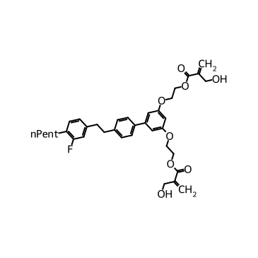 C=C(CO)C(=O)OCCOc1cc(OCCOC(=O)C(=C)CO)cc(-c2ccc(CCc3ccc(CCCCC)c(F)c3)cc2)c1